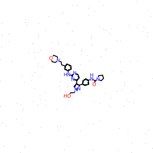 O=C(Nc1ccc(-c2nn(CCO)cc2-c2ccnc(Nc3cccc(CCN4CCOCC4)c3)n2)cc1)N1CCCC1